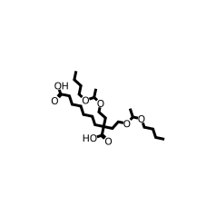 CCCCOC(C)OCCC(CCCCCCC(=O)O)(CCOC(C)OCCCC)C(=O)O